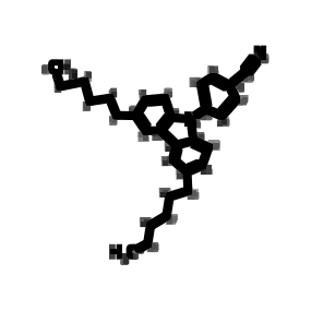 CCCCCCc1ccc2c(c1)c1cc(CCCCCC)ccc1n2-c1ccc(C#N)cc1